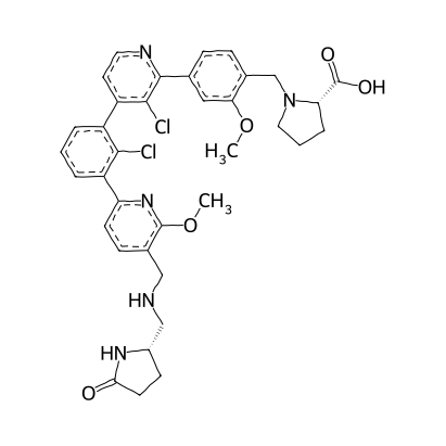 COc1cc(-c2nccc(-c3cccc(-c4ccc(CNC[C@@H]5CCC(=O)N5)c(OC)n4)c3Cl)c2Cl)ccc1CN1CCC[C@H]1C(=O)O